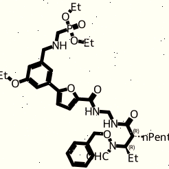 CCCCC[C@@H](C(=O)NCNC(=O)c1ccc(-c2cc(CNCP(=O)(OCC)OCC)cc(OCC)c2)o1)[C@@H](CC)N(C=O)OCc1ccccc1